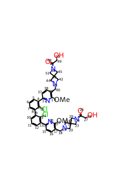 COc1nc(-c2cccc(-c3cccc(-c4ccc(CN5CC6(C5)CN(C(=O)CO)C6)c(OC)n4)c3Cl)c2Cl)ccc1CN1CC2(C1)CN(C(=O)CO)C2